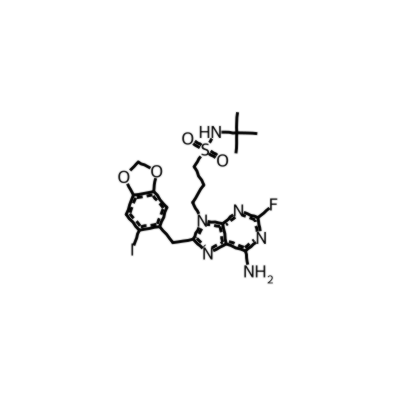 CC(C)(C)NS(=O)(=O)CCCn1c(Cc2cc3c(cc2I)OCO3)nc2c(N)nc(F)nc21